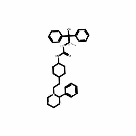 C[C@H](NC(=O)NC1CCC(CCN2CCCCC2c2ccccc2)CC1)C(O)(c1ccccc1)c1ccccc1